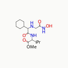 COC(=O)C(NC(=O)C(NCC(=O)NO)C1CCCCC1)C(C)C